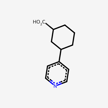 O=C(O)C1CCCC(c2ccncc2)C1